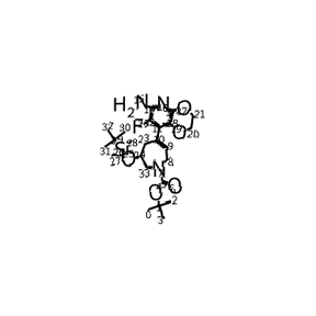 CC(C)(C)OC(=O)N1CC=C(c2c(F)c(N)nc3c2OCCO3)CC(O[Si](C)(C)C(C)(C)C)C1